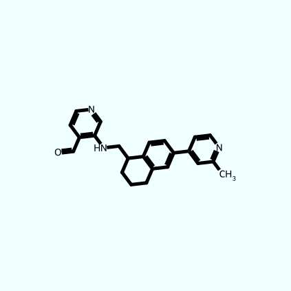 Cc1cc(-c2ccc3c(c2)CCCC3CNc2cnccc2C=O)ccn1